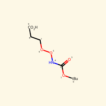 CC(C)(C)OC(=O)NOOCCC(=O)O